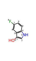 Oc1c[nH]c2ccc(F)cc12